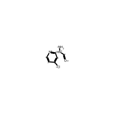 Clc1ccncc1.NNC=O